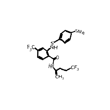 C=C(CCC(F)(F)F)NC(=O)c1ccc(C(F)(F)F)cc1NSc1ccc(SC)cc1